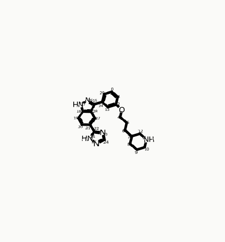 c1cc(OCCCC2CCCNC2)cc(-c2n[nH]c3ccc(-c4ncn[nH]4)cc23)c1